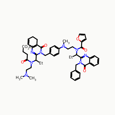 CCOC(=O)CCC(=O)N(CCN(C)C)C(CC)c1nc2c(c(=O)n1Cc1ccc(N(C)CCN(C(=O)c3ccco3)C(CC)c3nc4ccccc4c(=O)n3Cc3ccccc3)cc1)CCC=C2